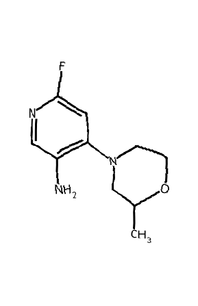 CC1CN(c2cc(F)ncc2N)CCO1